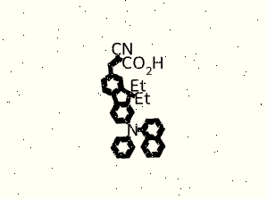 CCC1(CC)c2cc(C=C(C#N)C(=O)O)ccc2-c2ccc(N(c3ccccc3)c3cccc4ccccc34)cc21